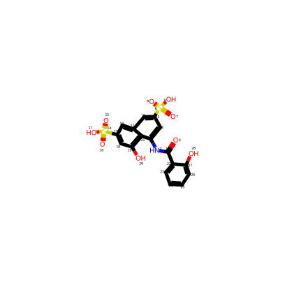 O=C(Nc1cc(S(=O)(=O)O)cc2cc(S(=O)(=O)O)cc(O)c12)c1ccccc1O